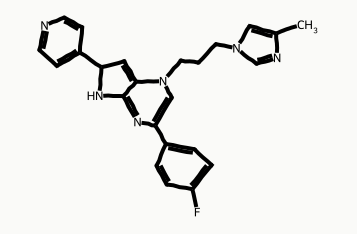 Cc1cn(CCCN2C=C(c3ccc(F)cc3)N=C3NC(c4ccncc4)C=C32)cn1